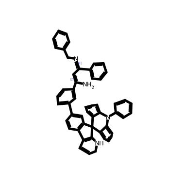 N/C(=C\C(=N/Cc1ccccc1)c1ccccc1)c1cccc(-c2ccc3c(c2)C2(C4=C3C=CCN4)c3ccccc3N(c3ccccc3)c3ccccc32)c1